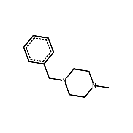 CN1CCN(Cc2c[c]ccc2)CC1